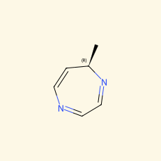 C[C@@H]1C=CN=CC=N1